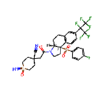 N#CC1(CC(=O)N2CC[C@@]3(S(=O)(=O)c4ccc(F)cc4)c4ccc(C(F)(C(F)(F)F)C(F)(F)F)cc4CC[C@@H]23)CCS(=N)(=O)CC1